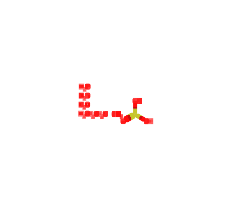 O.O.O.O.O.O.O.O=S(O)O